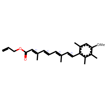 C=CCOC(=O)/C=C(C)/C=C/C=C(C)/C=C/c1c(C)cc(OC)c(C)c1C